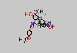 COc1ccc(CO/N=C2\C[C@@H]3[C@H](CC[C@]4(C)/C(=N/O)CC[C@@H]34)c3cc(OC)c(O)cc32)cc1